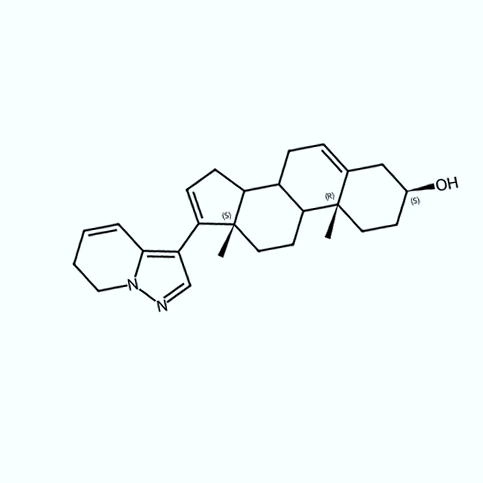 C[C@]12CC[C@H](O)CC1=CCC1C2CC[C@]2(C)C(c3cnn4c3C=CCC4)=CCC12